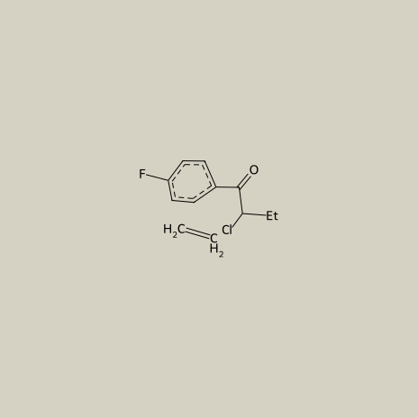 C=C.CCC(Cl)C(=O)c1ccc(F)cc1